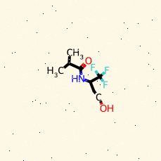 CC(C)C(=O)NC(CCO)C(F)(F)F